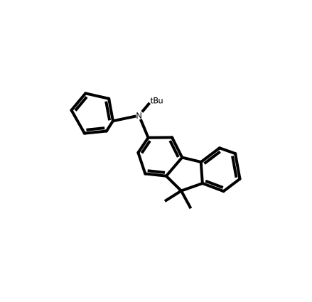 CC1(C)c2ccccc2-c2cc(N(c3ccccc3)C(C)(C)C)ccc21